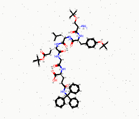 CC(C)C[C@H](NC(=O)[C@H](Cc1ccc(OC(C)(C)C)cc1)NC(=O)[C@@H](N)COC(C)(C)C)C(=O)N[C@@H](CCC(=O)OC(C)(C)C)C(=O)NCC(=O)N[C@@H](CCC(=O)NC(c1ccccc1)(c1ccccc1)c1ccccc1)C(=O)O